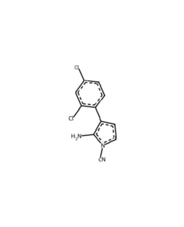 N#Cn1ccc(-c2ccc(Cl)cc2Cl)c1N